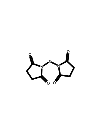 O=C1CCC(=O)N1SN1C(=O)CCC1=O